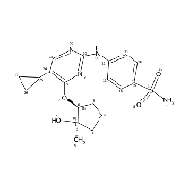 C[C@@]1(O)CCC[C@@H]1Oc1nc(Nc2ccc(S(N)(=O)=O)cc2)ncc1C1CC1